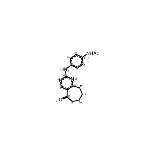 CC(=O)Nc1ccc(Nc2ncc3c(n2)CCCCC3=O)cc1